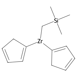 C[Si](C)(C)[CH2][Zr]([C]1=CC=CC1)[C]1=CC=CC1